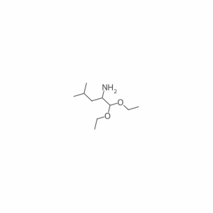 CCOC(OCC)C(N)CC(C)C